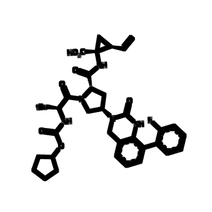 C=C[C@@H]1C[C@]1(NC(=O)[C@@H]1C[C@@H](N2Cc3cccc(-c4ccccc4F)c3NC2=O)CN1C(=O)[C@@H](NC(=O)OC1CCCC1)C(C)(C)C)C(=O)O